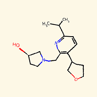 CC(C)c1ccc(C2CCOC2)c(CN2CC[C@@H](O)C2)n1